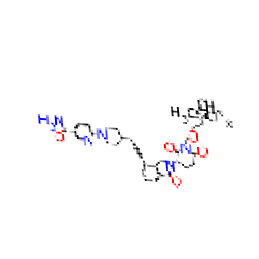 C[Si](C)(C)CCOCN1C(=O)CCC(N2Cc3c(C#CCC4CCN(c5ccc(C(N)=O)cn5)CC4)cccc3C2=O)C1=O